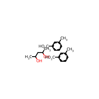 CC(O)CC(C)O.Cc1cccc(C(=O)O)c1.Cc1cccc(C(=O)O)c1